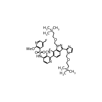 COc1ncc(F)cc1S(=O)(=O)Nc1ccnc(-c2ccc3c(-c4nccn4COCC[Si](C)(C)C)nn(COCC[Si](C)(C)C)c3c2F)c1C#N